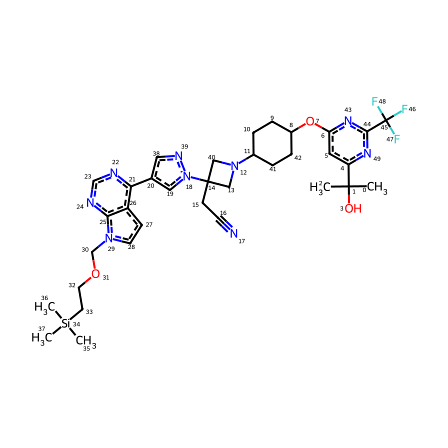 CC(C)(O)c1cc(OC2CCC(N3CC(CC#N)(n4cc(-c5ncnc6c5ccn6COCC[Si](C)(C)C)cn4)C3)CC2)nc(C(F)(F)F)n1